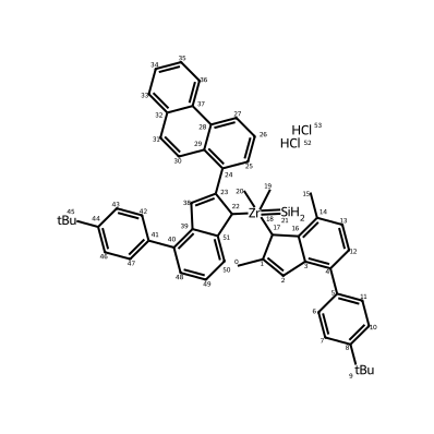 CC1=Cc2c(-c3ccc(C(C)(C)C)cc3)ccc(C)c2[CH]1[Zr]([CH3])([CH3])(=[SiH2])[CH]1C(c2cccc3c2ccc2ccccc23)=Cc2c(-c3ccc(C(C)(C)C)cc3)cccc21.Cl.Cl